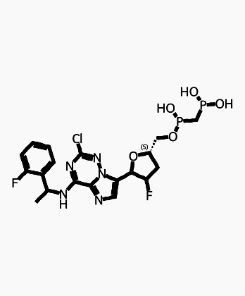 CC(Nc1nc(Cl)nn2c(C3O[C@H](COP(O)CP(O)O)CC3F)cnc12)c1ccccc1F